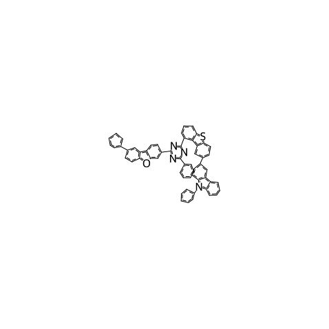 c1ccc(-c2ccc3oc4cc(-c5nc(-c6ccccc6)nc(-c6cccc7sc8ccc(-c9ccc%10c(c9)c9ccccc9n%10-c9ccccc9)cc8c67)n5)ccc4c3c2)cc1